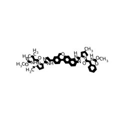 C=C[C@H]1CC[C@@H](c2ncc(-c3ccc4c(c3)COc3cc5c(ccc6nc([C@@H]7C[C@H](C)CN7C(=O)[C@H](NC(=O)OC)C7C=CC=CC7)[nH]c65)cc3-4)[nH]2)N1C(=O)[C@@H](NC(=O)OC)C(C)C